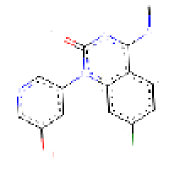 CNc1nc(=O)n(-c2cncc(O)c2)c2cc(Cl)ccc12